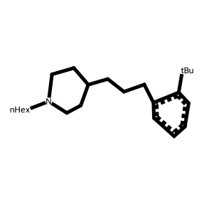 CCCCCCN1CCC(CCCc2ccccc2C(C)(C)C)CC1